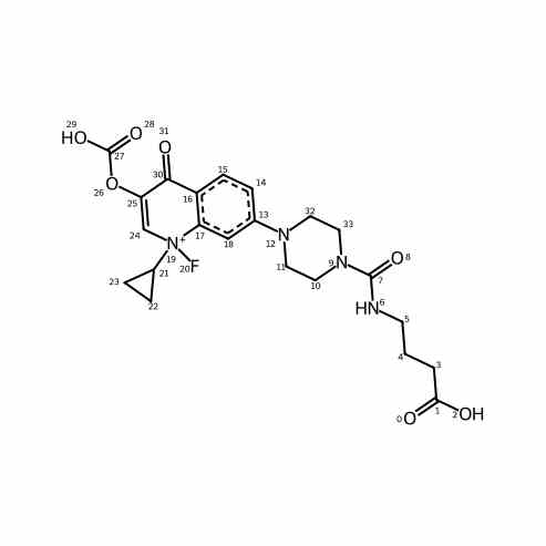 O=C(O)CCCNC(=O)N1CCN(c2ccc3c(c2)[N+](F)(C2CC2)C=C(OC(=O)O)C3=O)CC1